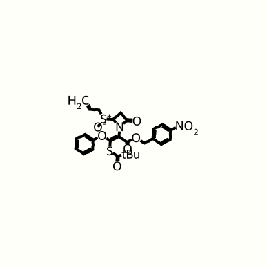 C=CC[S+]([O-])C1CC(=O)N1C(C(=O)OCc1ccc([N+](=O)[O-])cc1)=C(Oc1ccccc1)SC(=O)C(C)(C)C